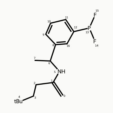 C=C(CCC(C)(C)C)NC(C)c1cccc(P(F)F)c1